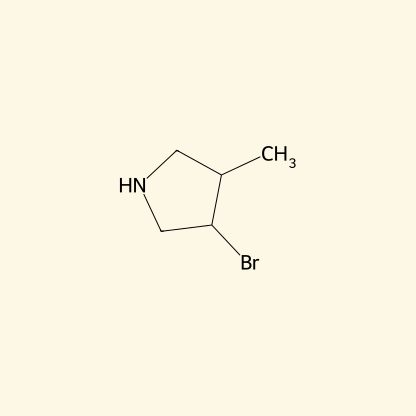 CC1CNCC1Br